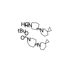 C1CNCC[C@H](N2CCCC3(CC3)C2)C1.CC(C)(C)OC(=O)N1CCC[C@@H](N2CCCC3(CC3)C2)CC1.Cl